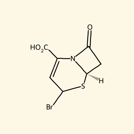 O=C(O)C1=CC(Br)S[C@@H]2CC(=O)N12